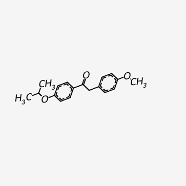 COc1ccc(CC(=O)c2ccc(OC(C)C)cc2)cc1